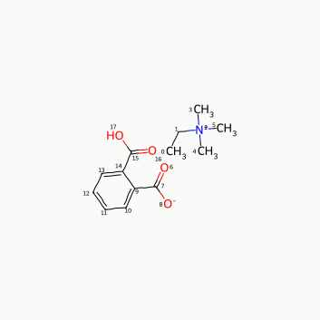 CC[N+](C)(C)C.O=C([O-])c1ccccc1C(=O)O